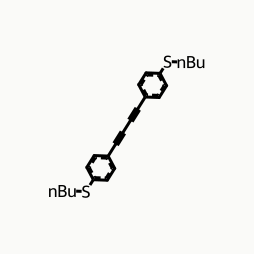 CCCCSc1ccc(C#CC#Cc2ccc(SCCCC)cc2)cc1